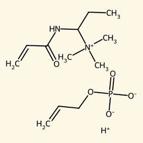 C=CC(=O)NC(CC)[N+](C)(C)C.C=CCOP(=O)([O-])[O-].[H+]